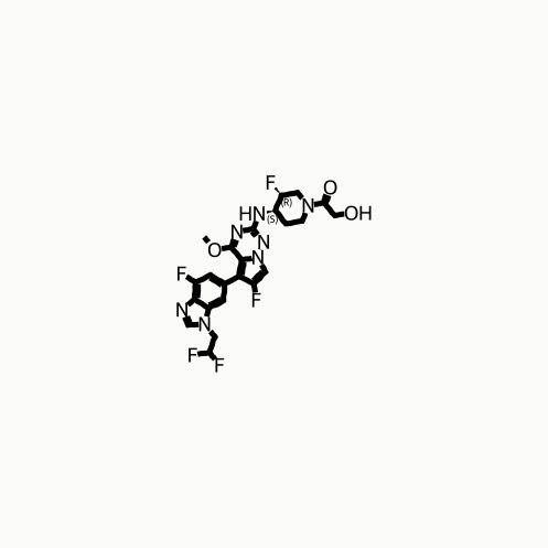 COc1nc(N[C@H]2CCN(C(=O)CO)C[C@H]2F)nn2cc(F)c(-c3cc(F)c4ncn(CC(F)F)c4c3)c12